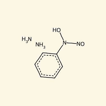 N.N.O=NN(O)c1ccccc1